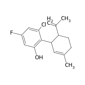 C=C(C)C1CCC(C)=CC1c1c(O)cc(F)cc1Cl